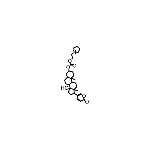 CC12CCC(OC(=O)OCCN3CCCC3)CC1CCC1C2CCC2(C)C(c3ccc(=O)oc3)CCC12O